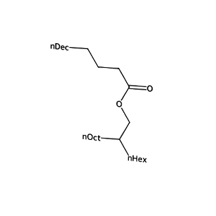 CCCCCCCCCCCCCC(=O)OCC(CCCCCC)CCCCCCCC